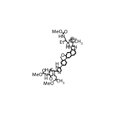 CC[C@H](CNC(=O)OC)C(=O)N([C@@H](C)CC)[C@@H](C)c1nc2ccc3cc4c(cc3c2[nH]1)OCc1cc(-c2cnc([C@H](C)N(C[C@H](C)COC)C(=O)[C@@H](NC(=O)OC)C(C)C)[nH]2)ccc1-4